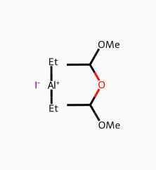 COC(C)OC(C)OC.C[CH2][Al+][CH2]C.[I-]